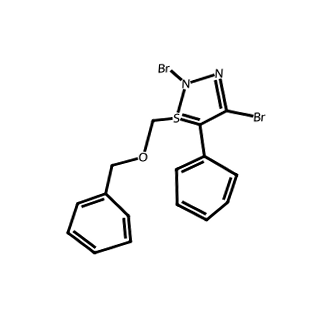 BrC1=NN(Br)S(COCc2ccccc2)=C1c1ccccc1